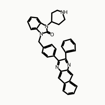 O=c1n(Cc2ccc(-c3nc4cc5ccccc5cc4nc3-c3ccccc3)cc2)c2ccccc2n1C1CCNCC1